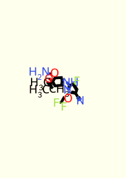 CC(C)(C)C1(OC(N)=O)CCC(Nc2nc(OCC(F)F)c(C#N)cc2F)CC1